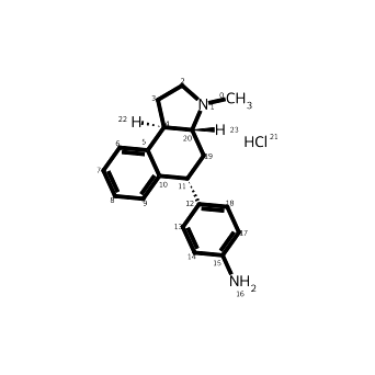 CN1CC[C@@H]2c3ccccc3[C@@H](c3ccc(N)cc3)C[C@H]21.Cl